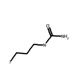 NC(=O)[N]CCCI